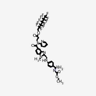 CCOC(=O)/N=C(\N)c1ccc(NCc2nc3cc(C(=O)N(CCC(=O)OCC(F)(F)C(F)(F)C(F)(F)C(F)(F)C(F)(F)F)c4ccccn4)ccc3n2C)cc1